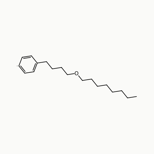 CCCCCCCCOCCCCc1cc[c]cc1